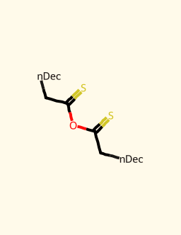 CCCCCCCCCCCC(=S)OC(=S)CCCCCCCCCCC